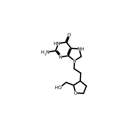 Nc1nc2c(c(=O)[nH]1)NCN2CCC1CCOC1CO